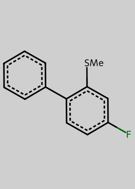 CSc1cc(F)ccc1-c1ccccc1